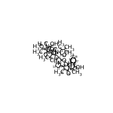 CC[C@@H](C)[C@@H]([C@@H](CC(=O)N1CCCC1[C@H](OC)[C@@H](C)C(=O)N[C@H](C)[C@@H](O)c1ccccc1)OC)N(C)C(=O)C(NC(=O)C(C(C)C)N(C)C(=O)O)C(C)C